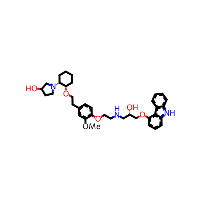 COc1cc(CCO[C@@H]2CCCC[C@H]2N2CCC(O)C2)ccc1OCCNC[C@H](O)COc1cccc2[nH]c3ccccc3c12